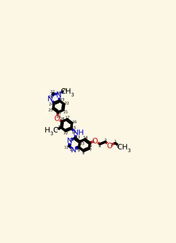 CCOCCOc1ccc2ncnc(Nc3ccc(Oc4ccc5c(c4)ncn5C)c(C)c3)c2c1